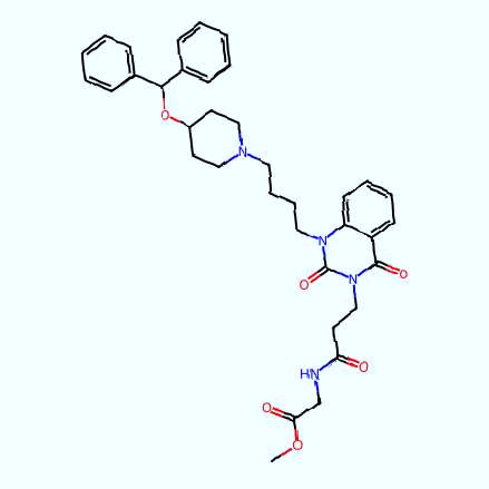 COC(=O)CNC(=O)CCn1c(=O)c2ccccc2n(CCCCN2CCC(OC(c3ccccc3)c3ccccc3)CC2)c1=O